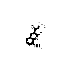 C=CC(=O)c1cc2cccc(N)c2nc1F